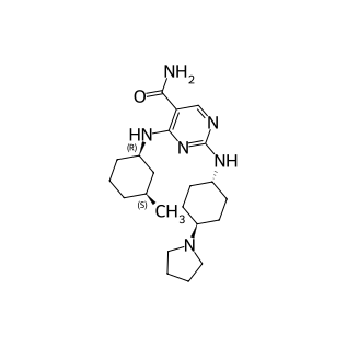 C[C@H]1CCC[C@@H](Nc2nc(N[C@H]3CC[C@H](N4CCCC4)CC3)ncc2C(N)=O)C1